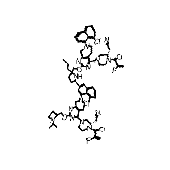 C=C(F)C(=O)N1CCN(c2nc(OCC3CCN3C(C)C)nc3c2CCN(c2cc(C4CCC(CCC)(COc5nc6c(c(N7CCN(C(=O)C(=C)F)[C@@H](CC#N)C7)n5)CCN(c5cccc7cccc(Cl)c57)C6)N4)cc4cccc(Cl)c24)C3)C[C@@H]1CC#N